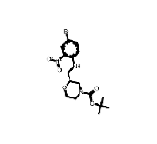 CC(C)(C)OC(=O)N1CCO[C@@H](CNc2ccc(Br)cc2[N+](=O)[O-])C1